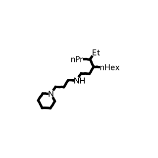 CCCCCCC(CCNCCCN1CCCCC1)C(CC)CCC